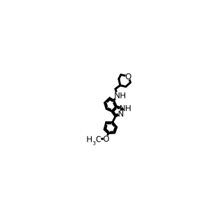 COc1ccc(-c2n[nH]c3c(NCC4CCOCC4)cccc23)cc1